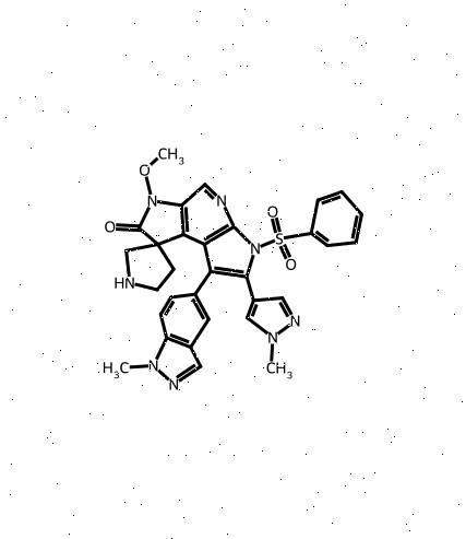 CON1C(=O)C2(CCNC2)c2c1cnc1c2c(-c2ccc3c(cnn3C)c2)c(-c2cnn(C)c2)n1S(=O)(=O)c1ccccc1